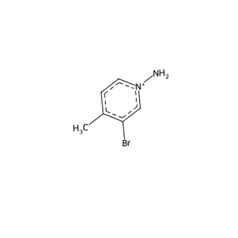 Cc1cc[n+](N)cc1Br